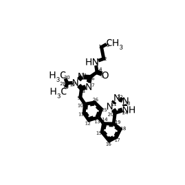 CCCNC(=O)c1nc(Cc2ccc(-c3ccccc3-c3nnn[nH]3)cc2)n(C(C)C)n1